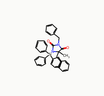 CC1(Cc2ccccc2)C(=O)N(Cc2ccccc2)C(=O)N1[Si](c1ccccc1)(c1ccccc1)c1ccccc1